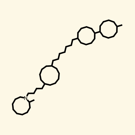 CC1CCCCC(C2CCCCC(CCCCCCCC3CCCCCC(CCCCN4CCCCCCCCC4C)CCCC3)CCCC2)CCCC1